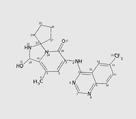 Cc1cc(Nc2ncnc3ccc(C(F)(F)F)cc23)c(=O)n2c1C(O)NC21CCCC1